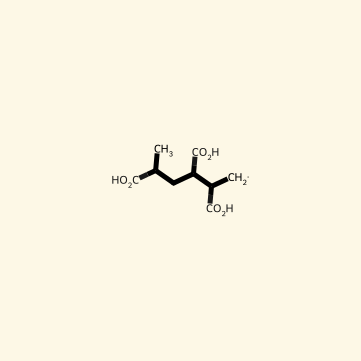 [CH2]C(C(=O)O)C(CC(C)C(=O)O)C(=O)O